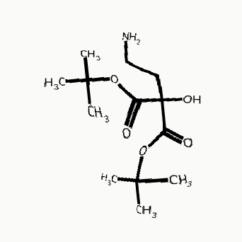 CC(C)(C)OC(=O)C(O)(CCN)C(=O)OC(C)(C)C